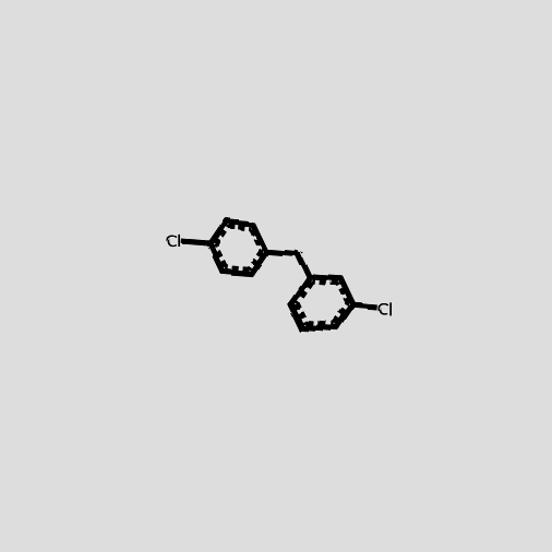 Clc1ccc([CH]c2cccc(Cl)c2)cc1